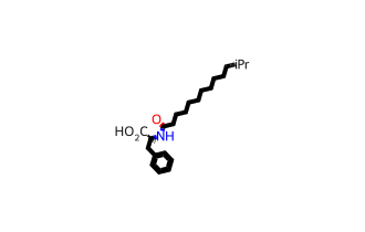 CC(C)CCCCCCCCCCC(=O)N[C@@H](Cc1ccccc1)C(=O)O